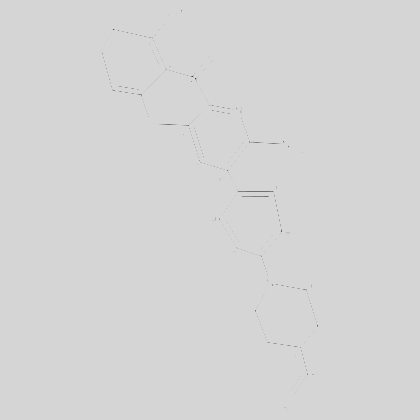 Nc1nc2c(=O)c3c(Cl)cccc3oc2cc1-c1ccc(N2CCC(C=O)CC2)cc1